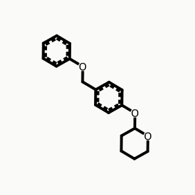 c1ccc(OCc2ccc(OC3CCCCO3)cc2)cc1